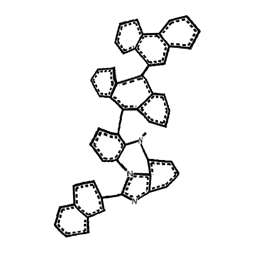 CN1c2c(-c3c4ccccc4c(-c4cc5ccccc5c5ccccc45)c4ccccc34)cccc2-n2c(-c3ccc4ccccc4c3)nc3cccc1c32